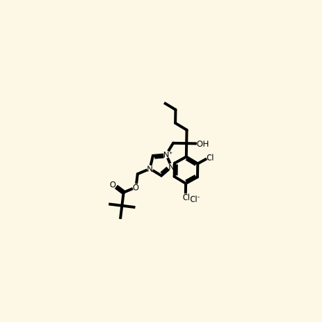 CCCCC(O)(C[n+]1cn(COC(=O)C(C)(C)C)cn1)c1ccc(Cl)cc1Cl.[Cl-]